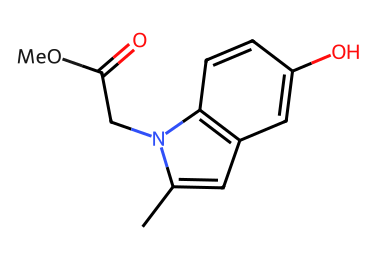 COC(=O)Cn1c(C)cc2cc(O)ccc21